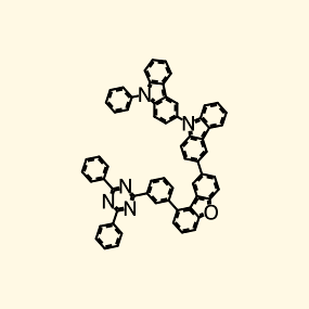 c1ccc(-c2nc(-c3ccccc3)nc(-c3cccc(-c4cccc5oc6ccc(-c7ccc8c(c7)c7ccccc7n8-c7ccc8c(c7)c7ccccc7n8-c7ccccc7)cc6c45)c3)n2)cc1